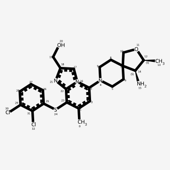 Cc1cc(N2CCC3(CC2)CO[C@@H](C)[C@H]3N)n2cc(CO)nc2c1Sc1cccc(Cl)c1Cl